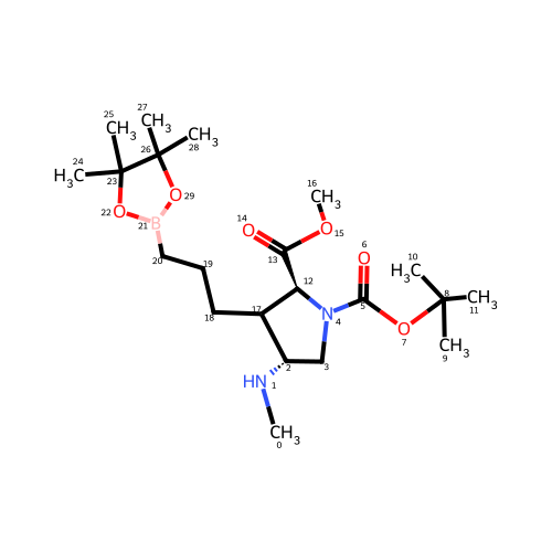 CN[C@H]1CN(C(=O)OC(C)(C)C)[C@H](C(=O)OC)C1CCCB1OC(C)(C)C(C)(C)O1